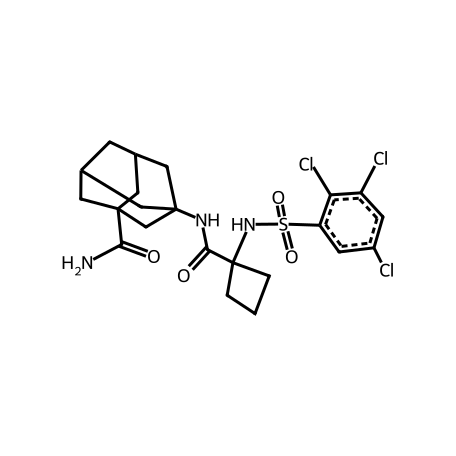 NC(=O)C12CC3CC(CC(NC(=O)C4(NS(=O)(=O)c5cc(Cl)cc(Cl)c5Cl)CCC4)(C3)C1)C2